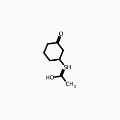 CC(O)=[SH]C1CCCC(=O)C1